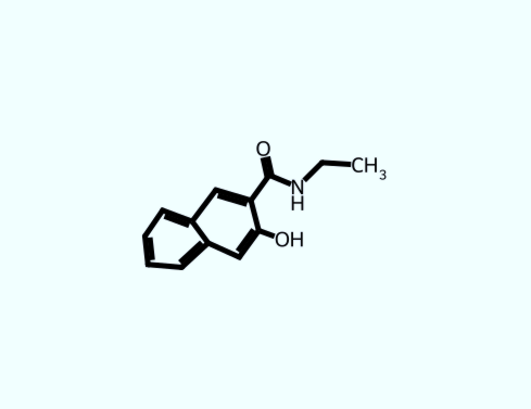 CCNC(=O)c1cc2ccccc2cc1O